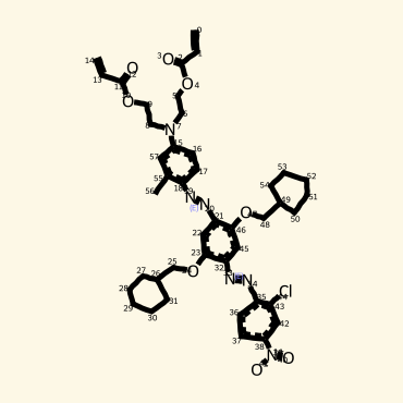 C=CC(=O)OCCN(CCOC(=O)C=C)c1ccc(/N=N/c2cc(OCC3CCCCC3)c(/N=N/c3ccc([N+](=O)[O-])cc3Cl)cc2OCC2CCCCC2)c(C)c1